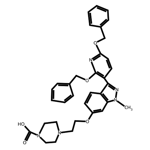 Cn1nc(-c2ccc(OCc3ccccc3)nc2OCc2ccccc2)c2ccc(OCCN3CCN(C(=O)O)CC3)cc21